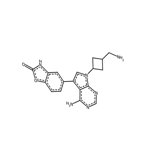 NCC1CC(n2cc(-c3ccc4oc(=O)[nH]c4c3)c3c(N)ncnc32)C1